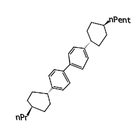 CCCCC[C@H]1CC[C@H](c2ccc(-c3ccc([C@H]4CC[C@H](CCC)CC4)cc3)cc2)CC1